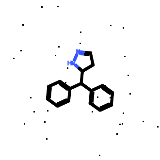 C1=NNC(C(c2ccccc2)c2ccccc2)C1